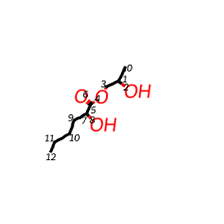 [CH2]C(O)COC(=O)C(O)CCCC